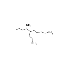 CCCC(N)C(CCN)CCCCN